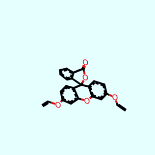 C=COc1ccc2c(c1)Oc1cc(OC=C)ccc1C21OC(=O)c2ccccc21